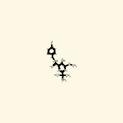 COc1nc(C(C)(C)N)nc(C(=O)NCc2ccc(F)cc2)c1O